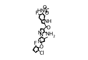 Cc1cc(Oc2c(F)cccc2Cl)ncc1-n1ncc(C(=O)c2cc3cc(F)c(NS(C)(=O)=O)cc3[nH]2)c1N